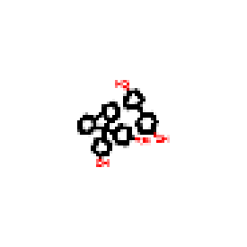 Oc1ccc(-c2ccc(O)cc2)cc1.Oc1ccc(C2(c3ccc(O)cc3)c3ccccc3-c3ccccc32)cc1